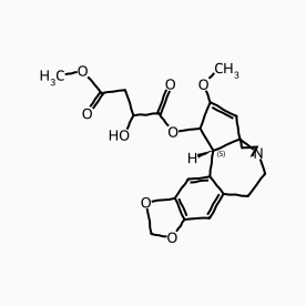 COC(=O)CC(O)C(=O)OC1C(OC)=CC23CCCN2CCc2cc4c(cc2[C@H]13)OCO4